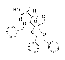 CN(C(=O)O)[C@H]1[C@H]2OC[C@](COCc3ccccc3)(O2)[C@H](OCc2ccccc2)[C@@H]1OCc1ccccc1